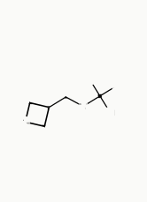 CC(C)(C)NCC1CNC1